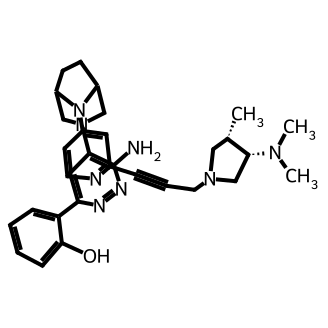 C[C@H]1CN(CC#Cc2cc(N3C4CCC3CN(c3cc(-c5ccccc5O)nnc3N)C4)ccn2)C[C@H]1N(C)C